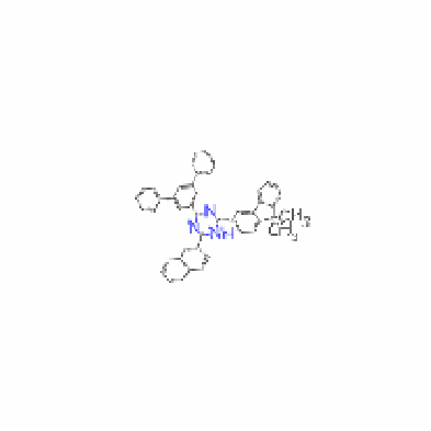 CC1(C)c2ccccc2-c2cc(C3N=C(c4cc(-c5ccccc5)cc(-c5ccccc5)c4)N=C(C4=CC5C=CC=CC5C=C4)N3)ccc21